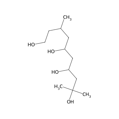 CC(CCO)CC(O)CC(O)CC(C)(C)O